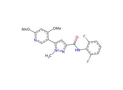 COc1cc(OC)c(-c2cc(C(=O)Nc3c(F)cccc3F)nn2C)cn1